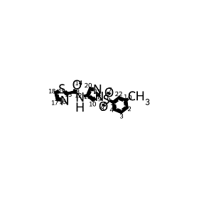 Cc1cccc(S(=O)(=O)n2cc(NC(=O)c3nccs3)cn2)c1